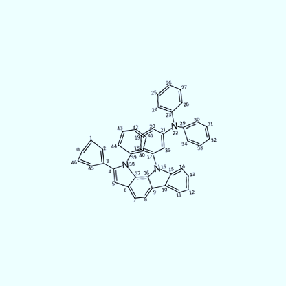 c1ccc(-c2cc3ccc4c5ccccc5n(-c5cccc(N(c6ccccc6)c6ccccc6)c5)c4c3n2-c2ccccc2)cc1